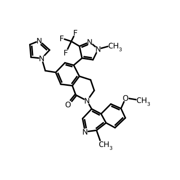 COc1ccc2c(C)ncc(N3CCc4c(cc(Cn5ccnc5)cc4-c4cn(C)nc4C(F)(F)F)C3=O)c2c1